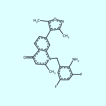 Cc1noc(C)c1-c1ccc2c(=O)cc(C)n(Cc3cc(F)cc(F)c3N)c2c1